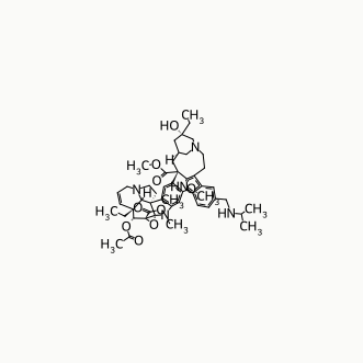 CC[C@]1(O)C[C@H]2CN(CCc3c([nH]c4ccc(CNC(C)C)cc34)[C@@](C(=O)OC)(c3cc4c(cc3OC)N(C)[C@@]35O[C@]3(C(=O)OC)[C@H](OC(C)=O)[C@]3(CC)C=CCN6CC[C@]45[C@@H]63)C2)C1